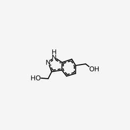 OCc1ccc2c(CO)n[nH]c2c1